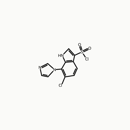 O=S(=O)(Cl)c1c[nH]c2c(-n3ccnc3)c(Cl)ccc12